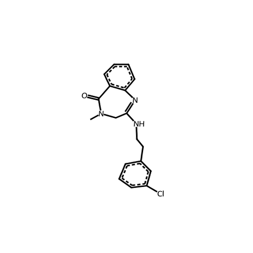 CN1CC(NCCc2cccc(Cl)c2)=Nc2ccccc2C1=O